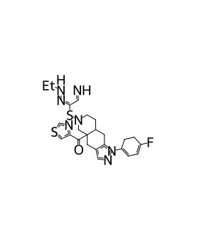 CCN/N=C(\C=N)SN1CCC2Cc3c(cnn3C3=CC=C(F)CC3)CC2(C(=O)c2cscn2)C1